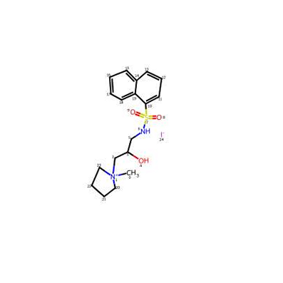 C[N+]1(CC(O)CNS(=O)(=O)c2cccc3ccccc23)CCCC1.[I-]